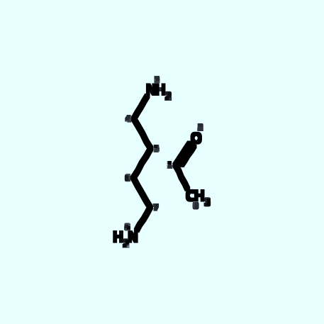 CC=O.NCCCCN